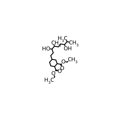 CCOC(=O)C1CCC(CCC(O)C(C)CCC(O)C(C)C)CC1C(=O)OCC